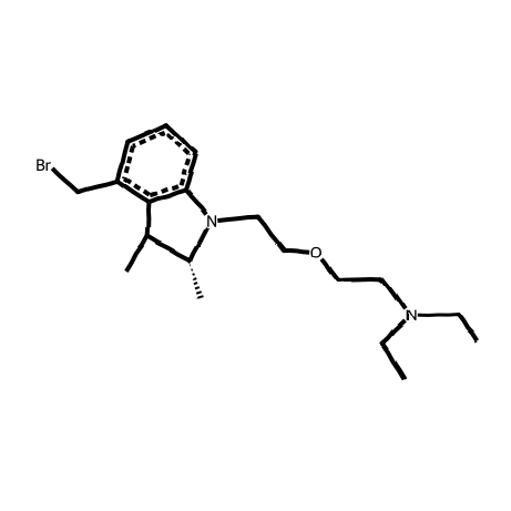 CCN(CC)CCOCCN1c2cccc(CBr)c2C(C)[C@H]1C